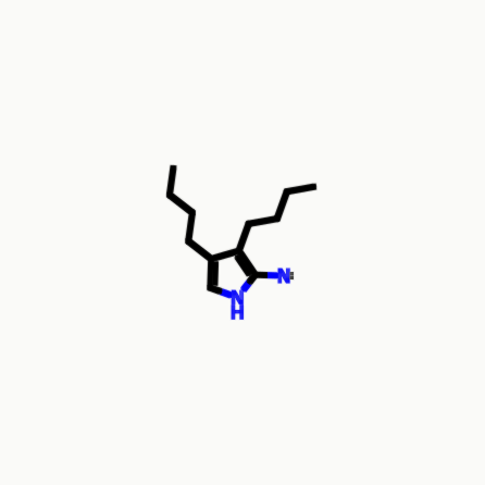 CCCCc1c[nH]c([N])c1CCCC